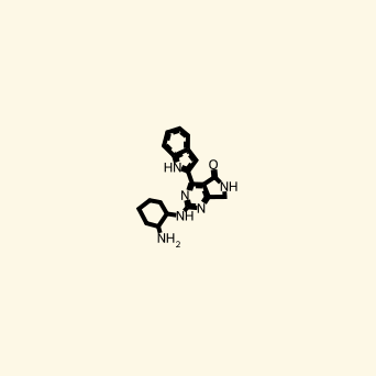 NC1CCCCC1Nc1nc2c(c(-c3cc4ccccc4[nH]3)n1)C(=O)NC2